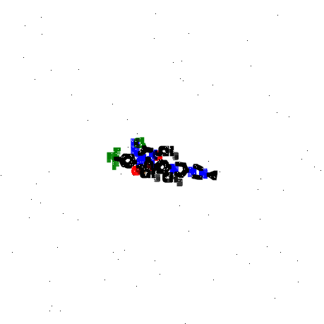 COc1cc(N2CCC(N3CCN(C4CC4)CC3)CC2)c(C)cc1Nc1ncc(Cl)c(Nc2cc(C(F)(F)F)ccc2NS(C)(=O)=O)n1